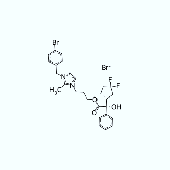 Cc1n(CCCOC(=O)[C@](O)(c2ccccc2)[C@@H]2CCC(F)(F)C2)cc[n+]1Cc1ccc(Br)cc1.[Br-]